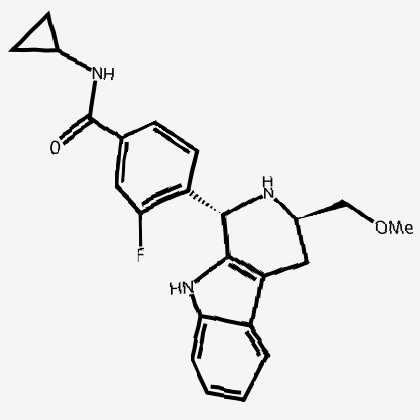 COC[C@H]1Cc2c([nH]c3ccccc23)[C@H](c2ccc(C(=O)NC3CC3)cc2F)N1